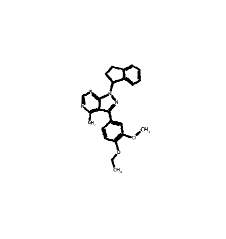 CCOc1ccc(-c2nn(C3CCc4ccccc43)c3ncnc(N)c23)cc1OC